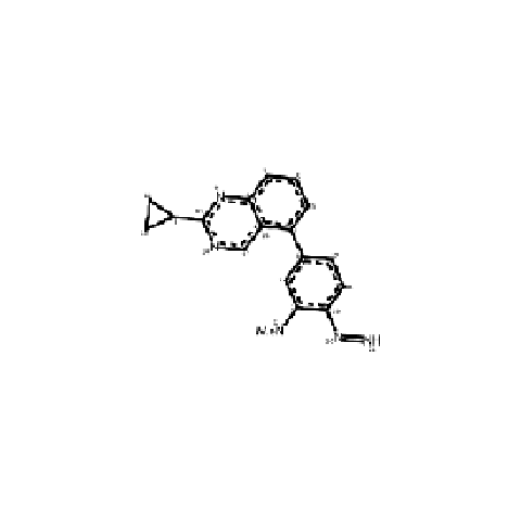 CNc1cc(-c2cccc3nc(C4CC4)ncc23)ccc1N=N